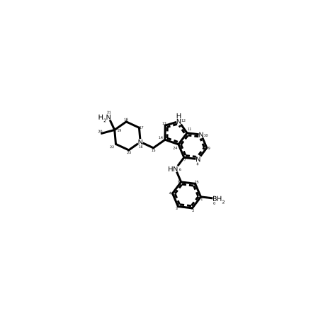 Bc1cccc(Nc2ncnc3[nH]cc(CN4CCC(C)(N)CC4)c23)c1